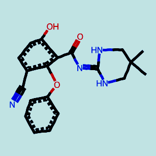 CC1(C)CNC(=NC(=O)c2c(O)ccc(C#N)c2Oc2ccccc2)NC1